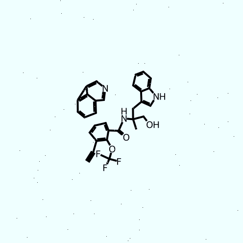 C#Cc1cccc(C(=O)NC(C)(CO)Cc2c[nH]c3ccccc23)c1OC(F)(F)F.c1cc2c3c-2cncc3c1